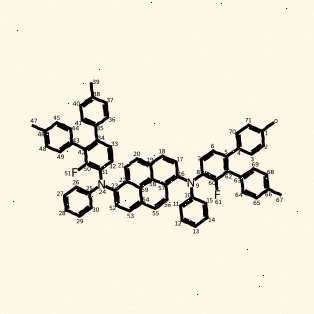 Cc1ccc(-c2ccc(N(c3ccccc3)c3ccc4ccc5c(N(c6ccccc6)c6ccc(-c7ccc(C)cc7)c(-c7ccc(C)cc7)c6F)ccc6ccc3c4c65)c(F)c2-c2ccc(C)cc2)cc1